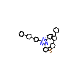 C1=CCCC(C2=CC=C(C3=Cc4c(sc5cccc(-c6nc(-c7ccccc7)nc(-c7ccc(C8CC=C(c9ccccc9)CC8)cc7)n6)c45)CC3)CC2)=C1